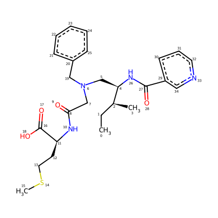 CC[C@H](C)[C@@H](CN(CC(=O)N[C@@H](CCSC)C(=O)O)Cc1ccccc1)NC(=O)c1cccnc1